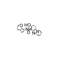 O=C(Nc1ccc2cccoc1-2)C1=C(O)CCc2c1nc1ccccn21